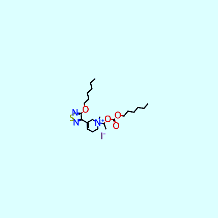 CCCCCCOC(=O)OC(C)[N+]1(C)CCC=C(c2nsnc2OCCCCCC)C1.[I-]